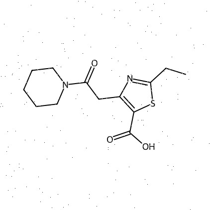 CCc1nc(CC(=O)N2CCCCC2)c(C(=O)O)s1